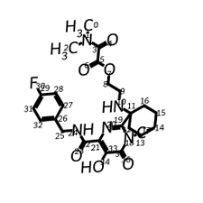 CN(C)C(=O)C(=O)OCCNC12CCC(CC1)Cn1c2nc(C(=O)NCc2ccc(F)cc2)c(O)c1=O